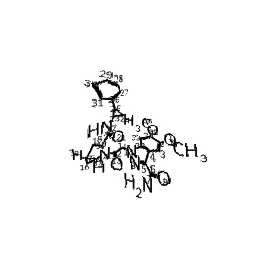 COc1cc2c(C(N)=O)nn(CC(=O)N3[C@@H]4C[C@@H]4C[C@H]3C(=O)NC3CC3c3ccccc3)c2cc1OC